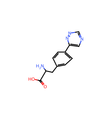 NC(Cc1ccc(-c2cncnn2)cc1)C(=O)O